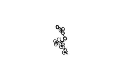 COC(=O)COc1c(C(=O)OCOC(=O)C(C)(C)C)sc(-c2cccc(C3CCN(S(=O)(=O)Cc4ccccc4)CC3)c2)c1Cl